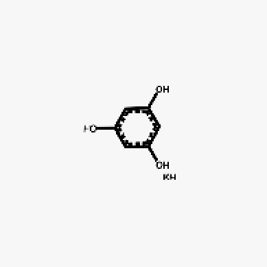 Oc1cc(O)cc(O)c1.[KH]